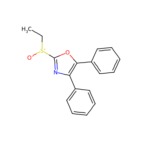 CC[S+]([O-])c1nc(-c2ccccc2)c(-c2ccccc2)o1